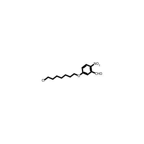 O=Cc1cc(OCCCCCCCCl)ccc1[N+](=O)[O-]